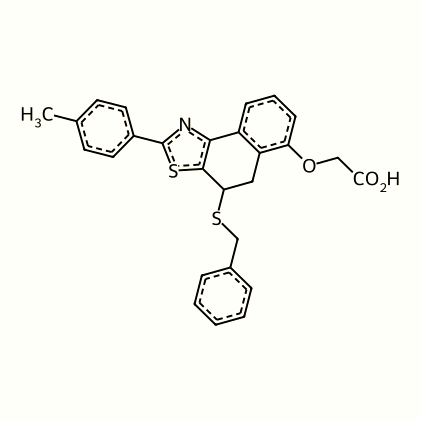 Cc1ccc(-c2nc3c(s2)C(SCc2ccccc2)Cc2c(OCC(=O)O)cccc2-3)cc1